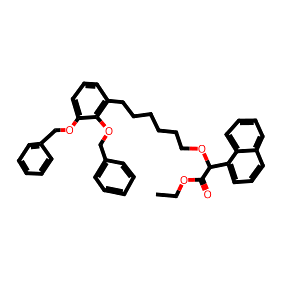 CCOC(=O)C(OCCCCCCc1cccc(OCc2ccccc2)c1OCc1ccccc1)c1cccc2ccccc12